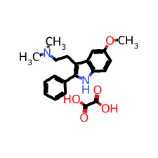 COc1ccc2[nH]c(-c3ccccc3)c(CCN(C)C)c2c1.O=C(O)C(=O)O